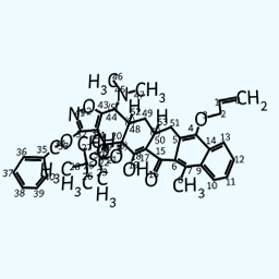 C=CCOc1c2c(c(C)c3ccccc13)C(=O)C1=C(O)[C@]3(O[Si](C)(C)C(C)(C)C)C(=O)c4c(OCc5ccccc5)noc4[C@@H](N(C)C)[C@@H]3C[C@@H]1C2